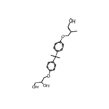 CC(CO)COc1ccc(C(C)(C)c2ccc(OCC(O)CO)cc2)cc1